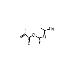 C=C(C)C(=O)OC(C)OC(C)C#N